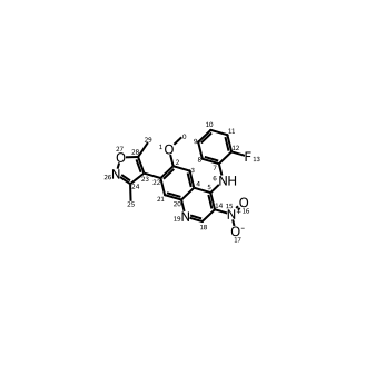 COc1cc2c(Nc3ccccc3F)c([N+](=O)[O-])cnc2cc1-c1c(C)noc1C